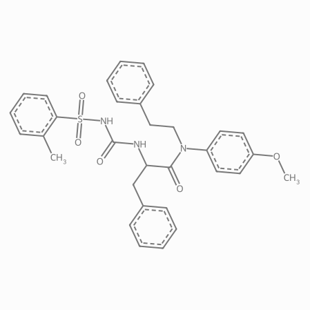 COc1ccc(N(CCc2ccccc2)C(=O)C(Cc2ccccc2)NC(=O)NS(=O)(=O)c2ccccc2C)cc1